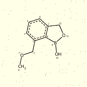 COCc1cccc2c1B(O)OC2